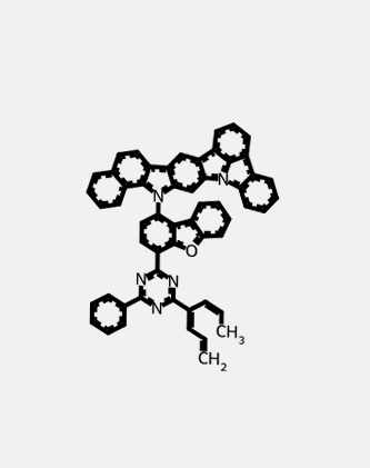 C=C/C=C(\C=C/C)c1nc(-c2ccccc2)nc(-c2ccc(-n3c4cc5c(cc4c4ccc6ccccc6c43)c3cccc4c6ccccc6n5c43)c3c2oc2ccccc23)n1